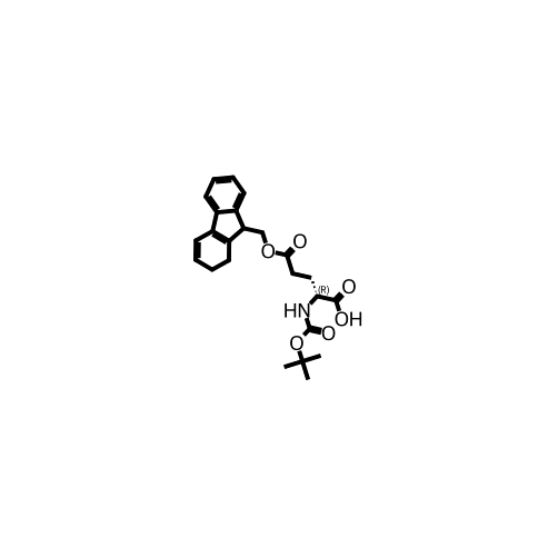 CC(C)(C)OC(=O)N[C@H](CCC(=O)OCC1C2=C(C=CCC2)c2ccccc21)C(=O)O